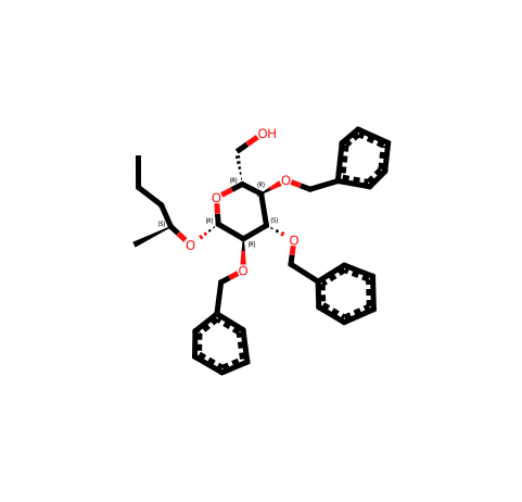 CCC[C@H](C)O[C@@H]1O[C@H](CO)[C@@H](OCc2ccccc2)[C@H](OCc2ccccc2)[C@H]1OCc1ccccc1